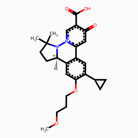 COCCCOc1cc2c(cc1C1CC1)-c1cc(=O)c(C(=O)O)cn1N1[C@@H]2CCC1(C)C